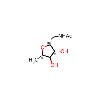 CC(=O)NC[C@H]1O[C@@H](C)C(O)[C@H]1O